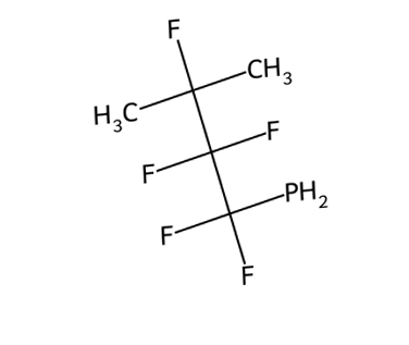 CC(C)(F)C(F)(F)C(F)(F)P